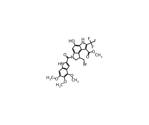 COC(=O)c1c(C(F)(F)F)[nH]c2c(O)cc3c(c12)C(CBr)CN3C(=O)c1cc2c(OC)c(OC)c(OC)cc2[nH]1